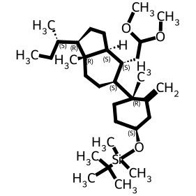 C=C1C[C@@H](O[Si](C)(C)C(C)(C)C)CC[C@]1(C)[C@H]1CC[C@]2(C)[C@@H]([C@@H](C)CC)CC[C@H]2[C@@H]1CC(OC)OC